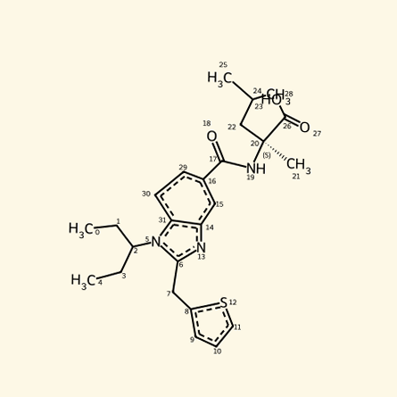 CCC(CC)n1c(Cc2cccs2)nc2cc(C(=O)N[C@@](C)(CC(C)C)C(=O)O)ccc21